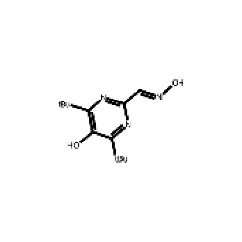 CC(C)(C)c1nc(C=NO)nc(C(C)(C)C)c1O